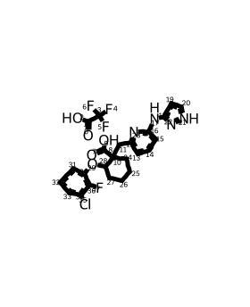 O=C(O)C(F)(F)F.O=C(O)C1(Cc2cccc(Nc3cc[nH]n3)n2)CCCCC1Oc1cccc(Cl)c1F